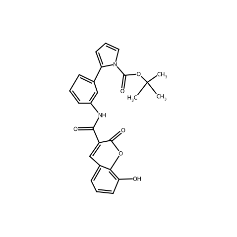 CC(C)(C)OC(=O)n1cccc1-c1cccc(NC(=O)c2cc3cccc(O)c3oc2=O)c1